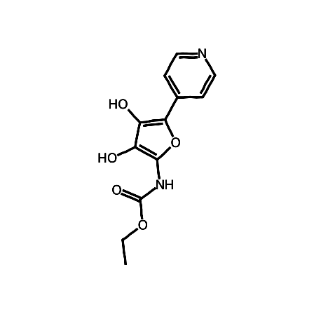 CCOC(=O)Nc1oc(-c2ccncc2)c(O)c1O